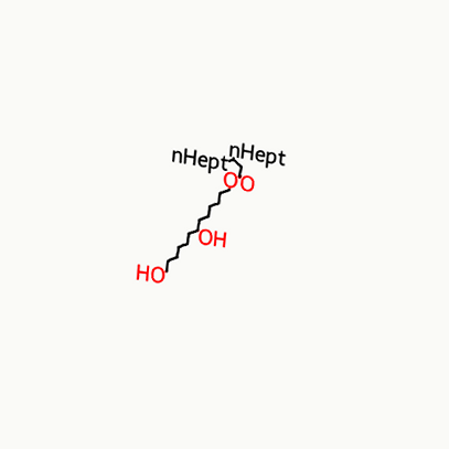 CCCCCCCC(CCCCCCC)CC(=O)OCCCCCCC(O)CCCCCCO